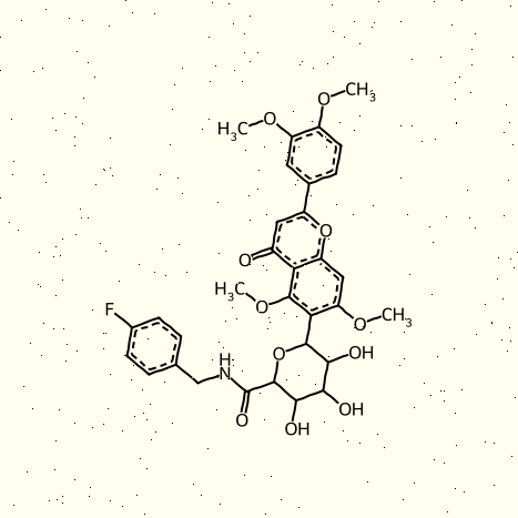 COc1ccc(-c2cc(=O)c3c(OC)c(C4OC(C(=O)NCc5ccc(F)cc5)C(O)C(O)C4O)c(OC)cc3o2)cc1OC